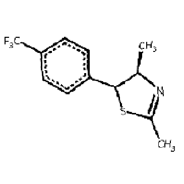 CC1=N[C@H](C)C(c2ccc(C(F)(F)F)cc2)S1